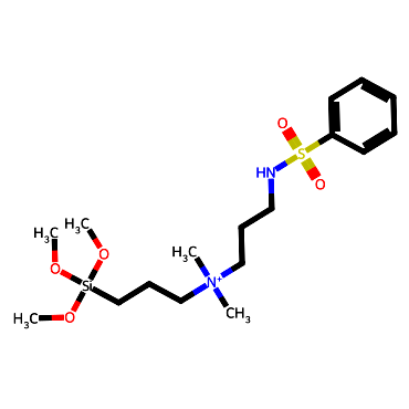 CO[Si](CCC[N+](C)(C)CCCNS(=O)(=O)c1ccccc1)(OC)OC